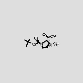 CC(C)(C)OC(=O)N1CC[C@@H](O)[C@H]1C(=O)O